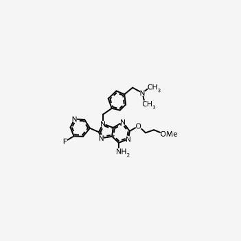 COCCOc1nc(N)c2nc(-c3cncc(F)c3)n(Cc3ccc(CN(C)C)cc3)c2n1